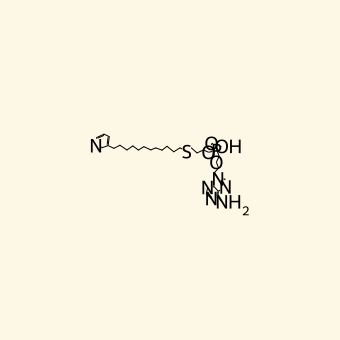 Nc1ncnc2c1ncn2CCOCP(=O)(O)OCCCSCCCCCCCCCCCCc1cccnc1